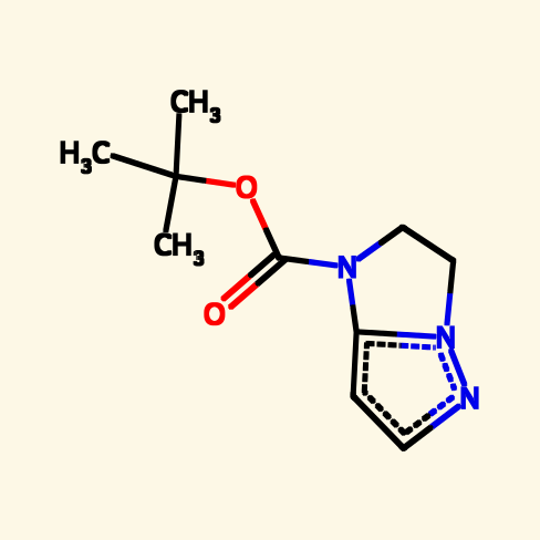 CC(C)(C)OC(=O)N1CCn2nccc21